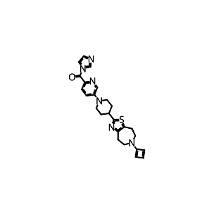 O=C(c1ccc(N2CCC(c3nc4c(s3)CCN(C3=CC=C3)CC4)CC2)cn1)n1ccnc1